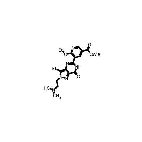 CCOc1ncc(C(=O)OC)cc1-c1nc2c(CC)n(CCN(C)C)nc2c(=O)[nH]1